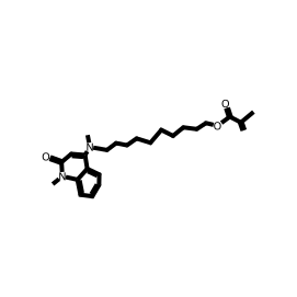 C=C(C)C(=O)OCCCCCCCCCCN(C)c1cc(=O)n(C)c2ccccc12